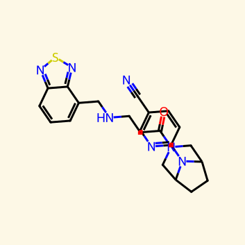 N#Cc1ccc(N2C3CCC2CN(C(=O)CCNCc2cccc4nsnc24)C3)nc1